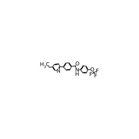 CCc1ccc(-c2ccc(C(=O)Nc3ccc(OC(F)(F)F)cc3)cc2)nc1